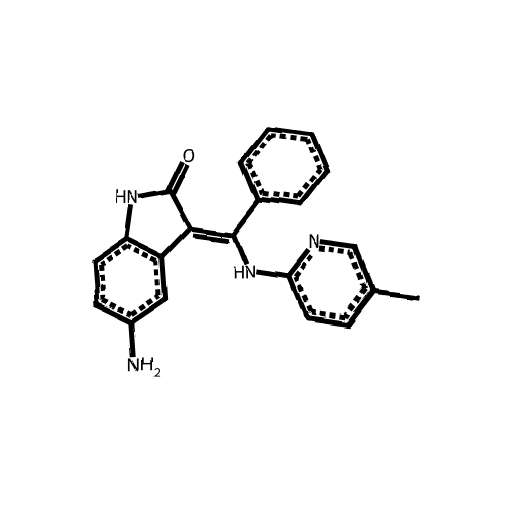 Cc1ccc(NC(=C2C(=O)Nc3ccc(N)cc32)c2ccccc2)nc1